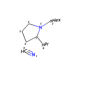 C#N.CCCCCCN1CCCC1CCC